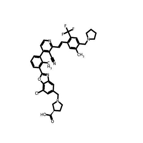 Cc1cc(/C=C/c2nccc(-c3cccc(-c4nc5cc(CN6CC[C@@H](C(=O)O)C6)cc(Cl)c5o4)c3C)c2C#N)c(C(F)(F)F)cc1CN1CCCC1